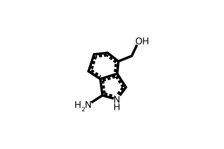 Nc1[nH]cc2c(CO)cccc12